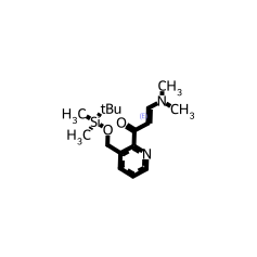 CN(C)/C=C/C(=O)c1ncccc1CO[Si](C)(C)C(C)(C)C